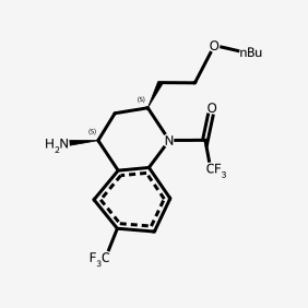 CCCCOCC[C@@H]1C[C@H](N)c2cc(C(F)(F)F)ccc2N1C(=O)C(F)(F)F